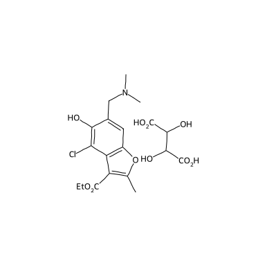 CCOC(=O)c1c(C)oc2cc(CN(C)C)c(O)c(Cl)c12.O=C(O)C(O)C(O)C(=O)O